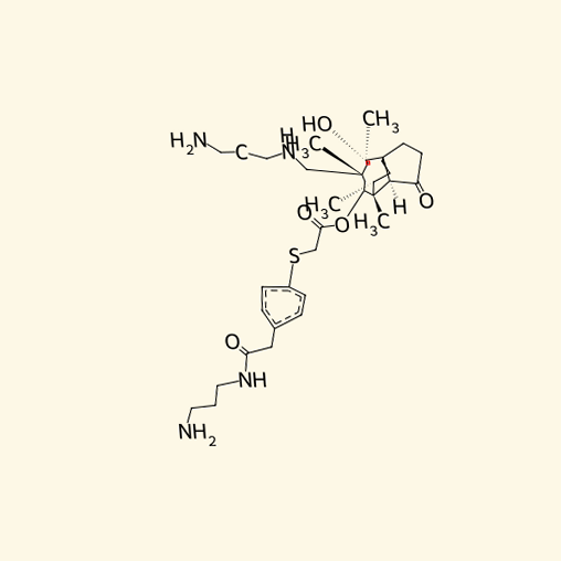 C[C@@H]1CC[C@@]23CCC(=O)[C@H]2[C@]1(C)C(OC(=O)CSc1ccc(CC(=O)NCCCN)cc1)C[C@](C)(CNCCCN)[C@@H](O)[C@@H]3C